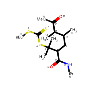 CCCCSC(=S)SC(C)(C)C(CC(C)C(C)C(=O)OC)C(=O)NC(C)C